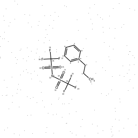 CCC[n+]1ccccc1.O=S(=O)([N-]S(=O)(=O)C(F)(F)F)C(F)(F)F